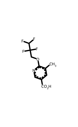 Cc1cc(C(=O)O)cnc1OCC(F)(F)C(F)F